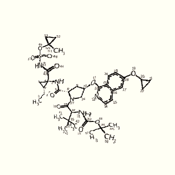 CC[C@@H]1C[C@]1(NC(=O)[C@@H]1C[C@@H](Oc2nccc3cc(OC4CC4)ccc23)CN1C(=O)[C@@H](NC(=O)OC(C)(C)C)C(C)(C)C)C(=O)NS(=O)(=O)OC1(C)CC1